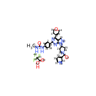 CNC(=O)Nc1ccc(-c2nc(C3=CCOCC3)c3cnn(C4CCN(C(=O)c5cccnc5)CC4)c3n2)cc1.O=C(O)C(F)(F)F